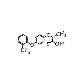 CC(Oc1ccc(Oc2ccccc2C(F)(F)F)cc1)C(O)=S